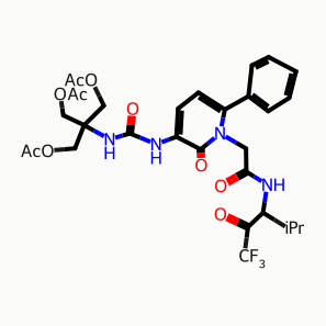 CC(=O)OCC(COC(C)=O)(COC(C)=O)NC(=O)Nc1ccc(-c2ccccc2)n(CC(=O)NC(C(=O)C(F)(F)F)C(C)C)c1=O